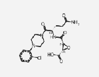 NC(=O)CC[C@H](NC(=O)[C@H]1O[C@@H]1C(=O)O)C(=O)N1CCN(c2ccccc2Cl)CC1